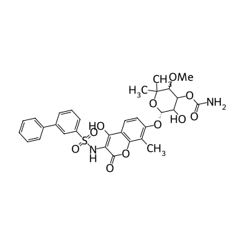 COC1C(OC(N)=O)C(O)[C@H](Oc2ccc3c(O)c(NS(=O)(=O)c4cccc(-c5ccccc5)c4)c(=O)oc3c2C)OC1(C)C